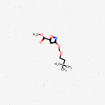 COC(=O)c1cc(OCOCC[Si](C)(C)C)no1